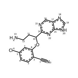 N#Cc1ccc(Cl)cc1OC(CCN)c1ncc2nc[nH]c2n1